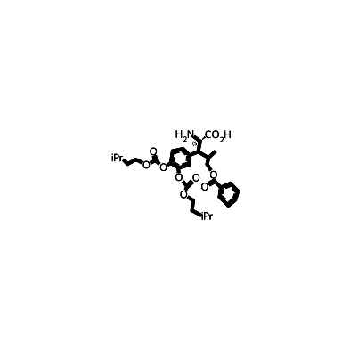 CC(C)CCOC(=O)Oc1ccc(C(C(C)COC(=O)c2ccccc2)[C@H](N)C(=O)O)cc1OC(=O)OCCC(C)C